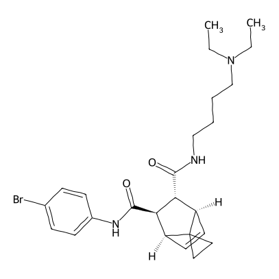 CCN(CC)CCCCNC(=O)[C@H]1[C@H](C(=O)Nc2ccc(Br)cc2)[C@@H]2C=C[C@H]1C21CC1